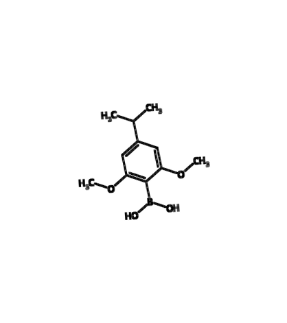 COc1cc(C(C)C)cc(OC)c1B(O)O